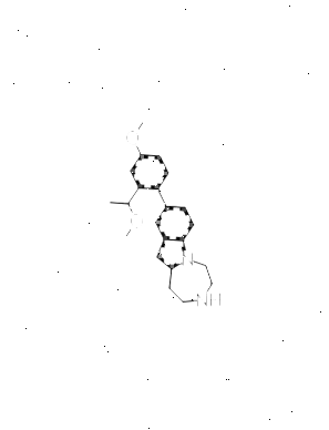 COc1ccc(-c2ccc3c(c2)cc2n3CCNCC2)c(C(C)OC)c1